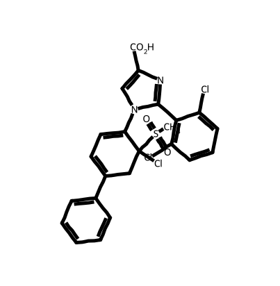 CS(=O)(=O)C1(Cl)CC(c2ccccc2)=CC=C1n1cc(C(=O)O)nc1-c1c(Cl)cccc1Cl